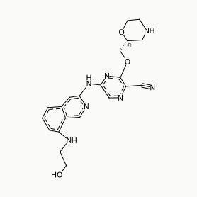 N#Cc1ncc(Nc2cc3cccc(NCCO)c3cn2)nc1OC[C@H]1CNCCO1